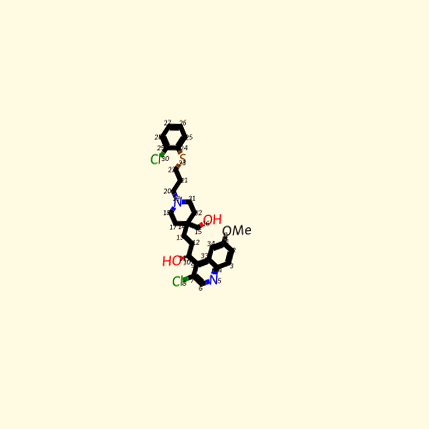 COc1ccc2ncc(Cl)c([C@@H](O)CCC3(CO)CCN(CCCSc4ccccc4Cl)CC3)c2c1